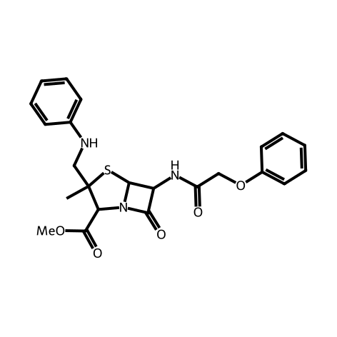 COC(=O)C1N2C(=O)C(NC(=O)COc3ccccc3)C2SC1(C)CNc1ccccc1